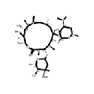 CC[C@H]1OC(=O)[C@H](C)[C@@H](OC2C[C@@](C)(OC)[C@@H](O)[C@H](C)O2)[C@H](C)[C@@H](O[C@@H]2O[C@H](C)C[C@H](N(C)C)[C@H]2OC(C)=O)[C@](C)(O)C[C@@H](C)CN(C)[C@H](C)[C@@H](O)[C@]1(C)O